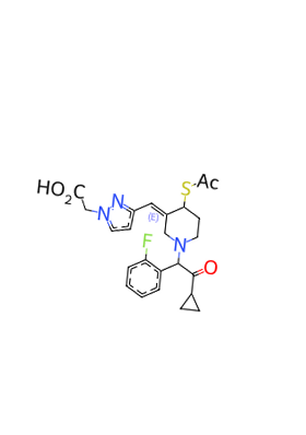 CC(=O)SC1CCN(C(C(=O)C2CC2)c2ccccc2F)C/C1=C\c1ccn(CC(=O)O)n1